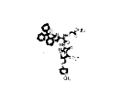 C[n+]1ccc(SCC2=C(C(=O)O)N3C(=O)[C@@H](NC(=O)/C(=N\OCC(=O)OC(C)(C)C)c4csc(NC(c5ccccc5)(c5ccccc5)c5ccccc5)n4)[C@H]3SC2)cc1.[I-]